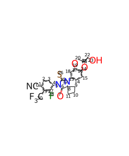 N#Cc1ccc(N2C(=O)C3(CCC3)N(c3ccc4c(c3)OC[C@@H](CO)O4)C2=S)c(F)c1C(F)(F)F